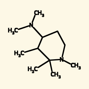 CC1C(N(C)C)CCN(C)C1(C)C